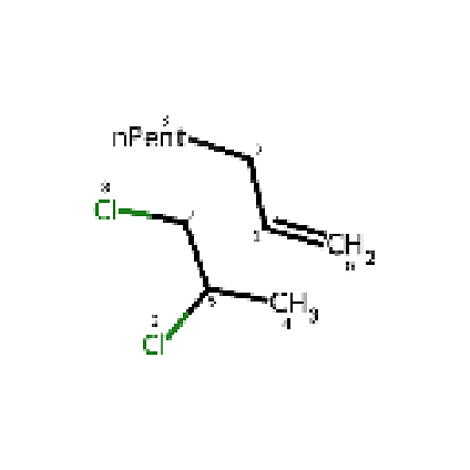 C=CCCCCCC.CC(Cl)CCl